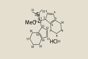 C[O][Zr]([CH]1C=CC2=C1CCCC2)([CH]1C=CC2=C1CCCC2)=[Si](C)C.Cl